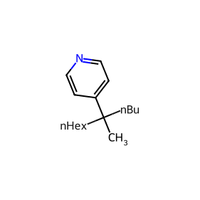 CCCCCCC(C)(CCCC)c1ccncc1